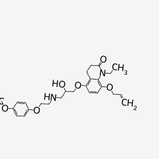 C=CCOc1ccc(OCC(O)CNCCOc2ccc(OC)cc2)c2c1N(CC)C(=O)CC2